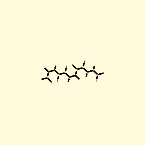 II(I)I(I)I(I)I(I)I(I)I(I)I(I)I(I)I(I)I(I)I(I)I(I)I